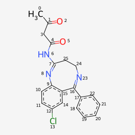 CC(=O)CC(=O)N/C1=N/c2ccc(Cl)cc2/C(c2ccccc2)=N\CC1